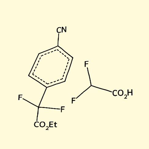 CCOC(=O)C(F)(F)c1ccc(C#N)cc1.O=C(O)C(F)F